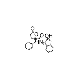 O=C1CC[C@@](Cc2ccccc2)(C(=O)N[C@H]2c3ccccc3C[C@H]2O)O1